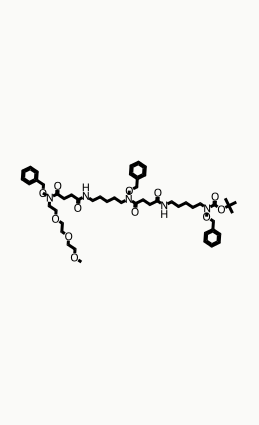 COCCOCCOCCN(OCc1ccccc1)C(=O)CCC(=O)NCCCCCN(OCc1ccccc1)C(=O)CCC(=O)NCCCCCN(OCc1ccccc1)C(=O)OC(C)(C)C